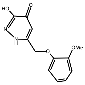 COc1ccccc1OCc1cc(=O)c(O)n[nH]1